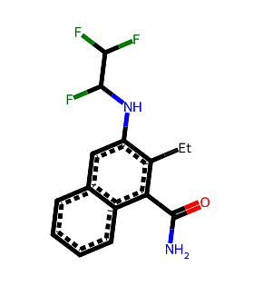 CCc1c(NC(F)C(F)F)cc2ccccc2c1C(N)=O